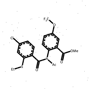 CCSc1cc(Cl)ccc1C(=O)N(C(C)=O)c1ccc(OC(F)(F)F)cc1C(=O)OC